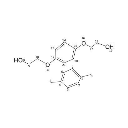 Cc1ccc(C)cc1.OCCOc1ccc(OCCO)cc1